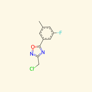 Cc1cc(F)cc(-c2nc(CCl)no2)c1